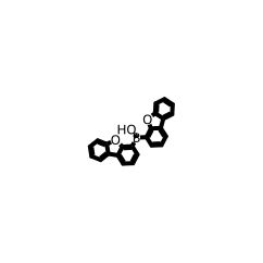 OB(c1cccc2c1oc1ccccc12)c1cccc2c1oc1ccccc12